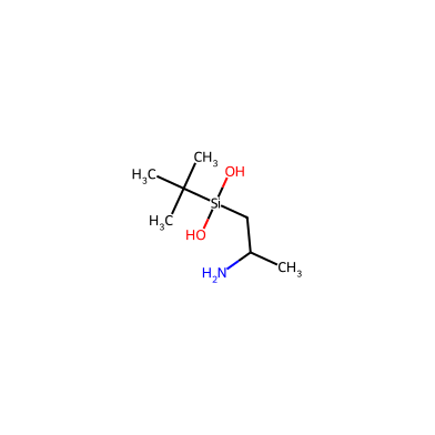 CC(N)C[Si](O)(O)C(C)(C)C